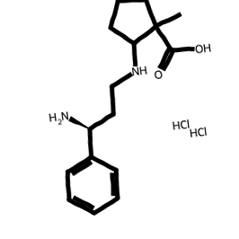 CC1(C(=O)O)CCCC1NCC[C@H](N)c1ccccc1.Cl.Cl